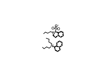 CCCCN(CCCC)c1cccc2ccccc12.CCCC[n+]1ccc2ccccc2c1S(=O)(=O)[O-]